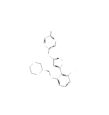 COc1cccc(OC[C@@H]2CNCCN2)c1-c1cc(Nc2cnc(C#N)cn2)n[nH]1